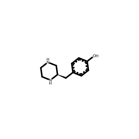 Oc1ccc(C[C@@H]2CNCCN2)cc1